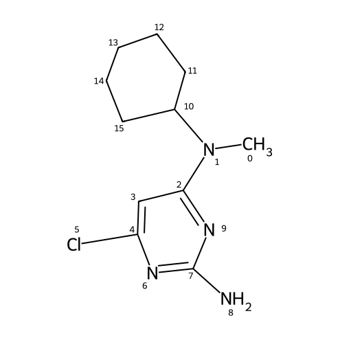 CN(c1cc(Cl)nc(N)n1)C1CCCCC1